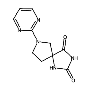 O=C1NC(=O)C2(CCN(c3ncccn3)C2)N1